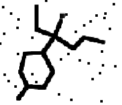 CCCC(F)(CC)C1CCC(C)CC1